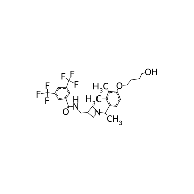 Cc1c(OCCCCO)ccc(C(C)N2CC(CNC(=O)c3cc(C(F)(F)F)cc(C(F)(F)F)c3)C2)c1C